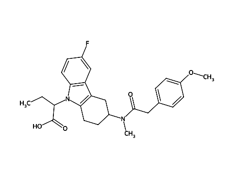 CCC(C(=O)O)n1c2c(c3cc(F)ccc31)CC(N(C)C(=O)Cc1ccc(OC)cc1)CC2